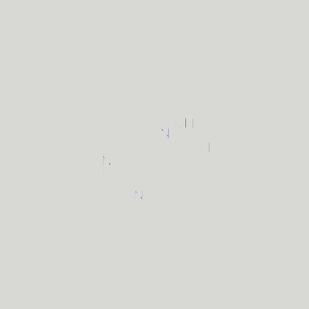 CN(C(=O)C1CCNCC1)c1cc(N)ccc1Cl